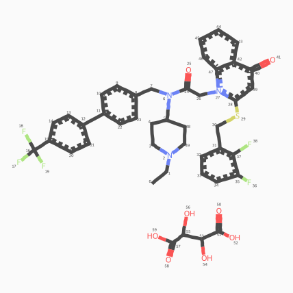 CCN1CCC(N(Cc2ccc(-c3ccc(C(F)(F)F)cc3)cc2)C(=O)Cn2c(SCc3cccc(F)c3F)cc(=O)c3ccccc32)CC1.O=C(O)C(O)C(O)C(=O)O